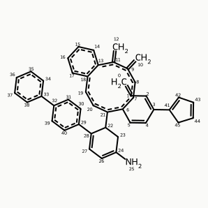 C=C/C=C(\C=C/c1ccc(=C)c(=C)c2ccccc2ccc1C1CC(N)=CC=C1c1ccc(-c2ccccc2)cc1)C1=CC=CC1